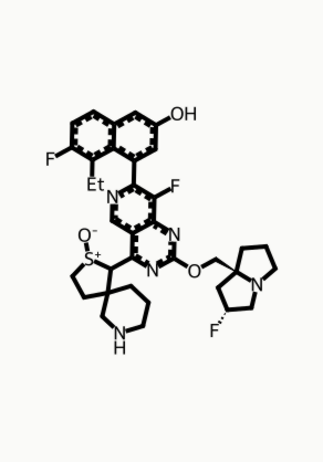 CCc1c(F)ccc2cc(O)cc(-c3ncc4c(C5[S+]([O-])CCC56CCCNC6)nc(OC[C@@]56CCCN5C[C@H](F)C6)nc4c3F)c12